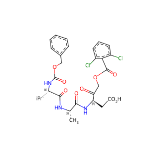 CC(C)[C@H](NC(=O)OCc1ccccc1)C(=O)N[C@@H](C)C(=O)N[C@H](CC(=O)O)C(=O)COC(=O)c1c(Cl)cccc1Cl